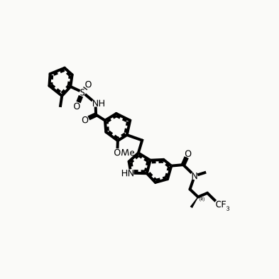 COc1cc(C(=O)NS(=O)(=O)c2ccccc2C)ccc1Cc1c[nH]c2ccc(C(=O)N(C)C[C@H](C)CC(F)(F)F)cc12